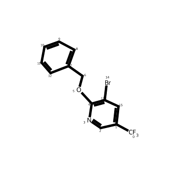 FC(F)(F)c1cnc(OCc2ccccc2)c(Br)c1